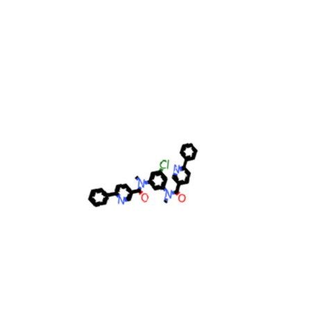 CN(C(=O)c1ccc(-c2ccccc2)nc1)c1cc(Cl)cc(N(C)C(=O)c2ccc(-c3ccccc3)nc2)c1